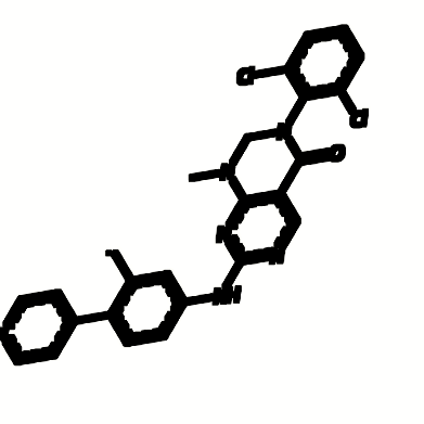 [CH2]c1cc(Nc2ncc3c(n2)N(C)CN(c2c(Cl)cccc2Cl)C3=O)ccc1-c1ccncc1